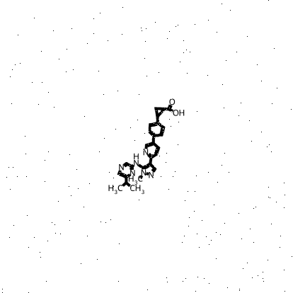 CC(C)c1cncc(Nc2c(-c3ccc(-c4ccc(C5CC5C(=O)O)cc4)cn3)cnn2C)n1